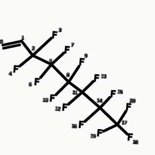 [CH]=CC(F)(F)C(F)(F)C(F)(F)C(F)(F)C(F)(F)C(F)(F)F